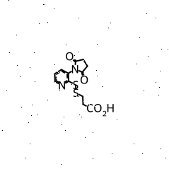 O=C(O)CCSSc1ncccc1N1C(=O)CCC1=O